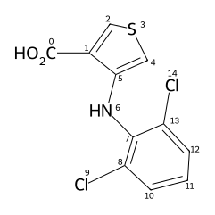 O=C(O)c1cscc1Nc1c(Cl)cccc1Cl